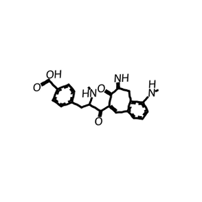 CNc1cccc2c1CC(=N)C(=O)C(C(=O)C(Cc1ccc(C(=O)O)cc1)NC)=C2